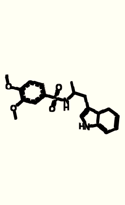 COc1ccc(S(=O)(=O)NC(C)CC2=CNC3=CC=CCC23)cc1OC